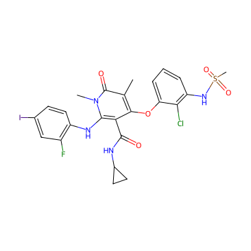 Cc1c(Oc2cccc(NS(C)(=O)=O)c2Cl)c(C(=O)NC2CC2)c(Nc2ccc(I)cc2F)n(C)c1=O